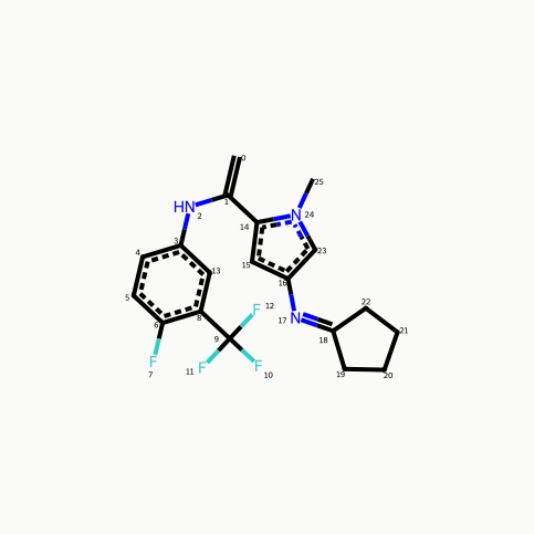 C=C(Nc1ccc(F)c(C(F)(F)F)c1)c1cc(N=C2CCCC2)cn1C